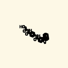 COc1ccc(C(=O)Nc2ccc(C(=O)NC(=O)CO)cc2)cc1C12CC3CC(CC(C3)C1)C2